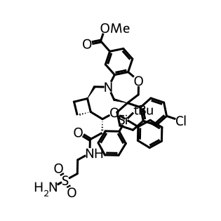 COC(=O)c1ccc2c(c1)N(C[C@@H]1CC[C@H]1[C@@H](CC(=O)NCCS(N)(=O)=O)O[Si](c1ccccc1)(c1ccccc1)C(C)(C)C)C[C@@]1(CCCc3cc(Cl)ccc31)CO2